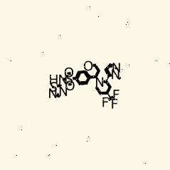 Cn1nccc1[C@H]1C[C@@H](C(F)(F)F)CCN1[C@@H]1CCOc2cc(S(=O)(=O)Nc3ncns3)ccc21